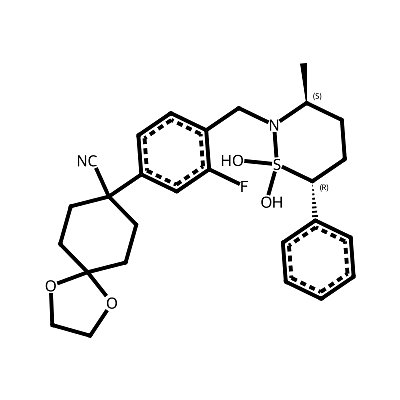 C[C@H]1CC[C@H](c2ccccc2)S(O)(O)N1Cc1ccc(C2(C#N)CCC3(CC2)OCCO3)cc1F